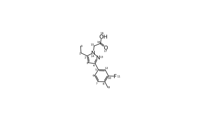 CCc1cc(-c2ccc(C)c(F)c2)nn1CC(=O)O